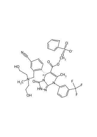 COC(=O)C1=C(C)N(c2cccc(C(F)(F)F)c2)c2n[nH]c(=O)n2[C@@H]1c1ccc(C#N)cc1C[N+](C)(CCO)CCO.O=S(=O)([O-])c1ccccc1